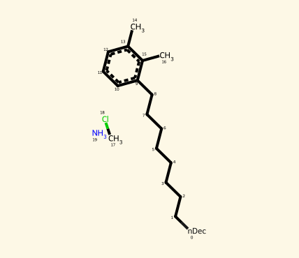 CCCCCCCCCCCCCCCCCCc1cccc(C)c1C.CCl.N